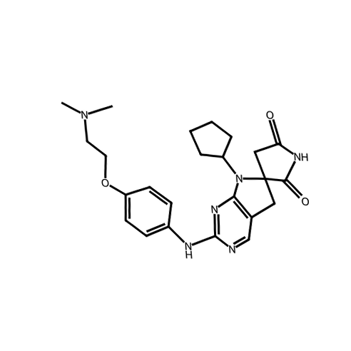 CN(C)CCOc1ccc(Nc2ncc3c(n2)N(C2CCCC2)C2(CC(=O)NC2=O)C3)cc1